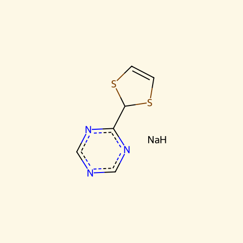 C1=CSC(c2ncncn2)S1.[NaH]